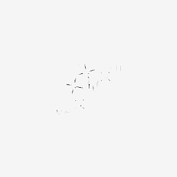 CO[Si](C)(C)O[Si](C)(C)O[Si](C)(C)O[Si](C)(C)C